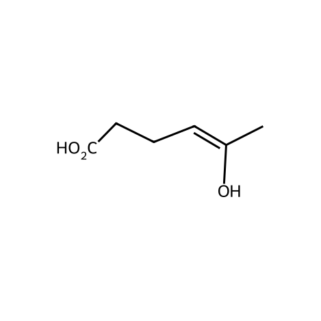 CC(O)=CCCC(=O)O